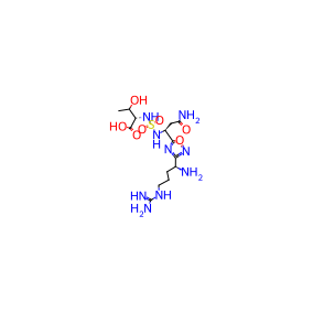 CC(O)[C@H](NS(=O)(=O)N[C@@H](CC(N)=O)c1nc([C@@H](N)CCCNC(=N)N)no1)C(=O)O